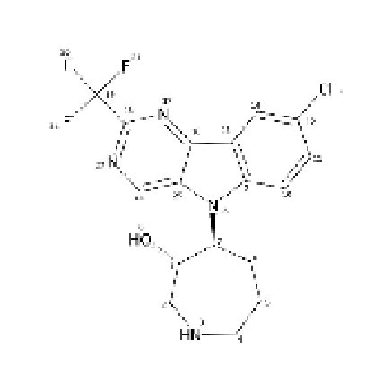 O[C@H]1CNCCC[C@@H]1n1c2ccc(Cl)cc2c2nc(C(F)(F)F)ncc21